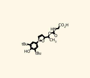 CC(OC(=O)NCC(=O)O)C1C=CN(c2cc(C(C)(C)C)c(O)c(C(C)(C)C)c2)O1